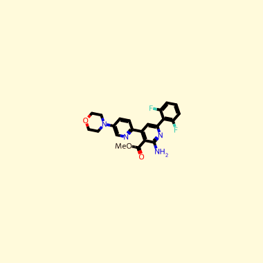 COC(=O)c1c(-c2ccc(N3CCOCC3)cn2)cc(-c2c(F)cccc2F)nc1N